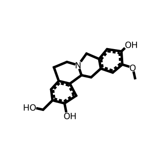 COc1cc2c(cc1O)CN1CCc3cc(CO)c(O)cc3C1C2